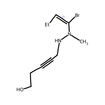 CC/C=C(/Br)N(C)NCC#CCCO